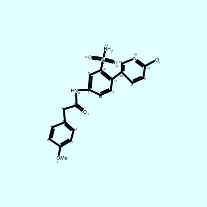 COc1ccc(CC(=O)Nc2ccc(-c3ccc(Cl)nc3)c(S(N)(=O)=O)c2)cc1